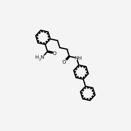 NC(=O)c1ccccc1CC[CH]C(=O)Nc1ccc(-c2ccccc2)cc1